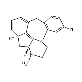 CN1CCN2C3=C4C(=CC=C[C@@H]4C[C@H]31)Cc1ccc(Cl)cc12